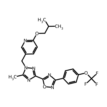 Cc1nc(-c2nc(-c3ccc(OC(F)(F)F)cc3)no2)nn1Cc1ccc(OCC(C)C)nc1